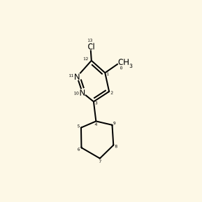 Cc1cc(C2CCCCC2)nnc1Cl